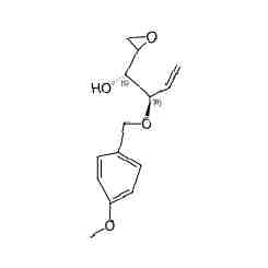 C=C[C@@H](OCc1ccc(OC)cc1)[C@H](O)C1CO1